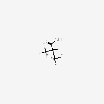 NC(=O)C(O)(C(F)(F)F)C(F)(F)F